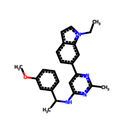 CCn1ccc2ccc(-c3cc(NC(C)c4cccc(OC)c4)nc(C)n3)cc21